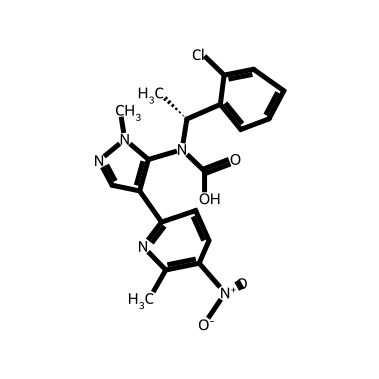 Cc1nc(-c2cnn(C)c2N(C(=O)O)[C@H](C)c2ccccc2Cl)ccc1[N+](=O)[O-]